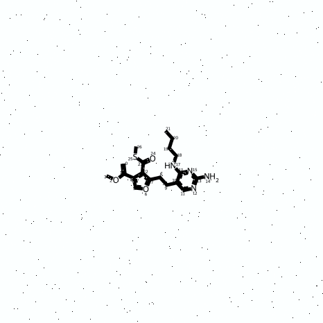 C=C(OC)c1coc(CCc2cnc(N)nc2NCCCC)c1C(=O)SC